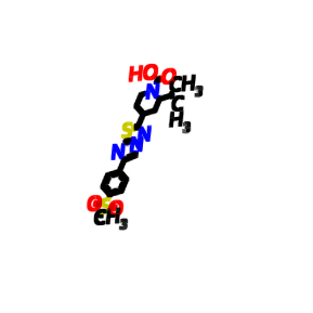 CC(C)C1CC(c2nn3cc(-c4ccc(S(C)(=O)=O)cc4)nc3s2)CCN1C(=O)O